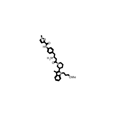 COCCCn1c(C2CCCN(C(=O)C[C@H](N)Cc3ccc(NC(=O)c4ccn(C)n4)cc3)C2)c(C)c2ccccc21